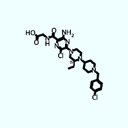 CC[C@H]1CN(c2nc(N)c(C(=O)NCC(=O)O)nc2Cl)CCN1C1CCN(Cc2ccc(Cl)cc2)CC1